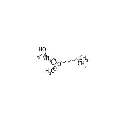 COc1cc(CC[C@@](N)(CO)CC2CC2)ccc1OCCCCCCCC(C)C